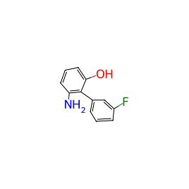 Nc1cccc(O)c1-c1cccc(F)c1